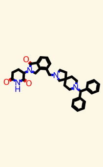 O=C1CCC(N2Cc3c(CN4CCC5(CCN(C(c6ccccc6)c6ccccc6)CC5)C4)cccc3C2=O)C(=O)N1